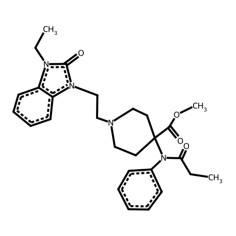 CCC(=O)N(c1ccccc1)C1(C(=O)OC)CCN(CCn2c(=O)n(CC)c3ccccc32)CC1